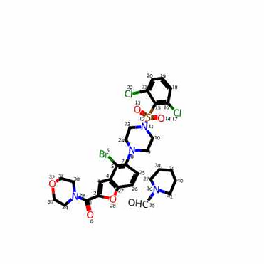 O=C(c1cc2c(Br)c(N3CCN(S(=O)(=O)c4c(Cl)cccc4Cl)CC3)ccc2o1)N1CCOCC1.O=CN1CCCCC1